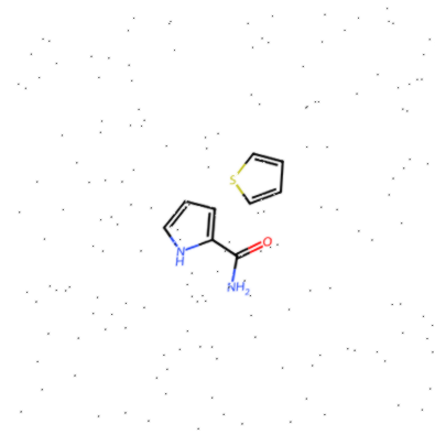 NC(=O)c1ccc[nH]1.c1ccsc1